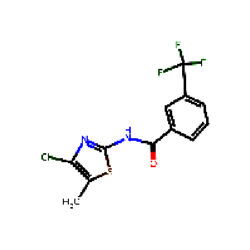 Cc1sc(NC(=O)c2cccc(C(F)(F)F)c2)nc1Cl